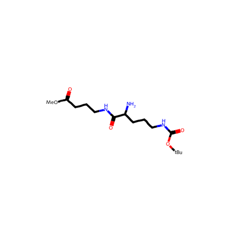 COC(=O)CCCNC(=O)C(N)CCCNC(=O)OC(C)(C)C